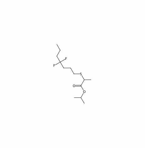 CCCC(F)(F)CCCSC(C)C(=O)OC(C)C